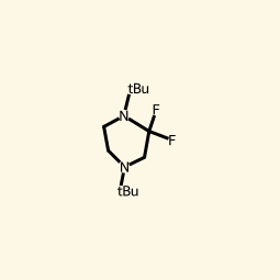 CC(C)(C)N1CCN(C(C)(C)C)C(F)(F)C1